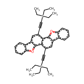 CC[Si](C#Cc1cc2c3ccccc3oc2c2c(C#C[Si](CC)(CC)CC)cc3c4ccccc4oc3c12)(CC)CC